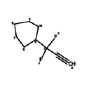 C#CC(F)(F)C1CC[CH]CC1